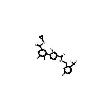 Cc1c(F)cc(C(=O)NC2CC2)cc1-c1ccc(C(=O)NCc2cc(F)ccc2C(F)(F)F)c[n+]1[O-]